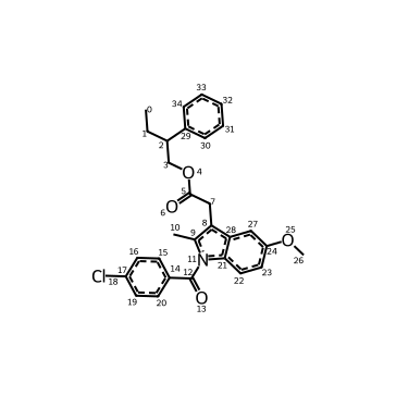 CCC(COC(=O)Cc1c(C)n(C(=O)c2ccc(Cl)cc2)c2ccc(OC)cc12)c1ccccc1